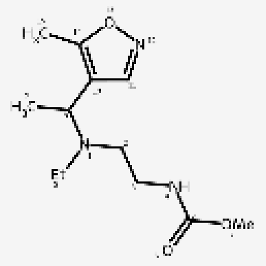 CCN(CCNC(=O)OC)C(C)c1cnoc1C